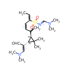 C=C(/C=C\C(=C/C)S(=O)(=O)/N=C/N(C)C)[C@@H]1[C@@H](/C(C=O)=C/N(C)C)C1(C)C